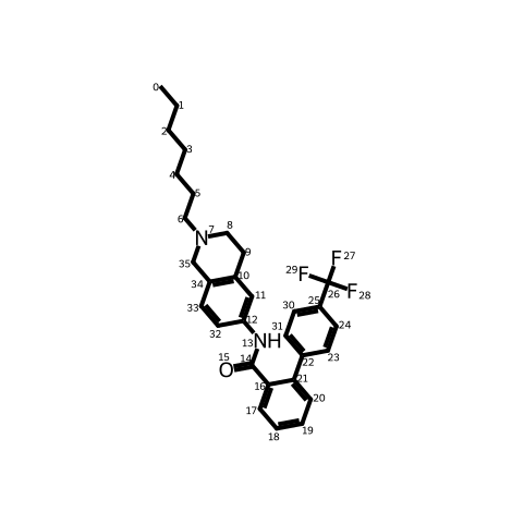 CCCCCCCN1CCc2cc(NC(=O)c3ccccc3-c3ccc(C(F)(F)F)cc3)ccc2C1